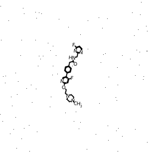 CN1CCN(CCOc2cc(F)c(-c3ccc(CC(=O)NCc4nccc(F)n4)cc3)cn2)CC1